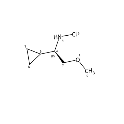 COC[C@H](NCl)C1CC1